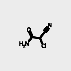 N#CC(Cl)C(N)=O